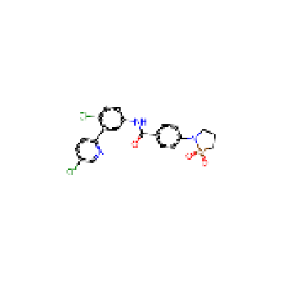 O=C(Nc1ccc(Cl)c(-c2ccc(Cl)cn2)c1)c1ccc(N2CCCS2(=O)=O)cc1